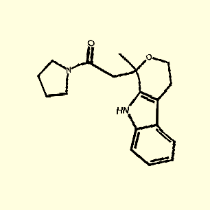 CC1(CC(=O)N2CCCC2)OCCc2c1[nH]c1ccccc21